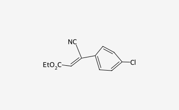 CCOC(=O)C=C(C#N)c1ccc(Cl)cc1